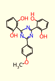 COc1ccc(-c2nc(-c3c(O)cccc3O)nc(-c3c(O)cccc3O)n2)cc1